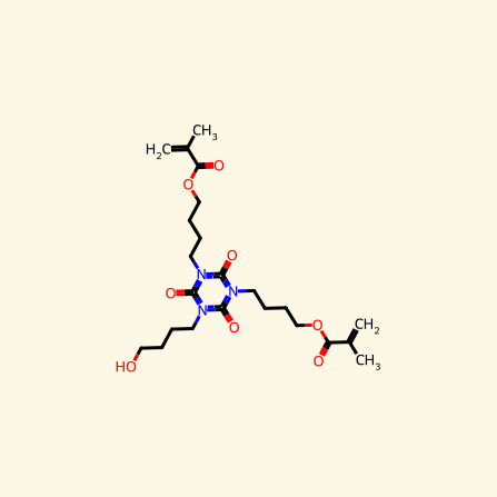 C=C(C)C(=O)OCCCCn1c(=O)n(CCCCO)c(=O)n(CCCCOC(=O)C(=C)C)c1=O